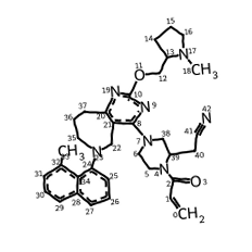 C=CC(=O)N1CCN(c2nc(OCC3CCCN3C)nc3c2CN(c2cccc4cccc(C)c24)CCC3)CC1CC#N